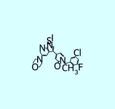 CC(c1cc(F)cc(Cl)c1)n1ccc(-c2cn(SI)c3ncc(N4CCOCC4)cc23)cc1=O